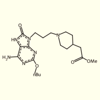 CCCCOc1nc(N)c2[nH]c(=O)n(CCCN3CCC(CC(=O)OC)CC3)c2n1